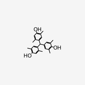 Cc1cc(C(c2cc(C)c(O)c(C)c2)c2cc(C)c(O)cc2C)c(C)cc1O